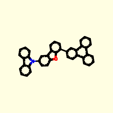 c1cc(-c2ccc3c4ccccc4c4ccccc4c3c2)c2oc3ccc(-n4c5ccccc5c5ccccc54)cc3c2c1